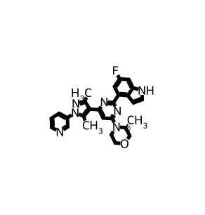 Cc1nn(-c2cccnc2)c(C)c1-c1cc(N2CCOC[C@H]2C)nc(-c2cc(F)cc3[nH]ccc23)n1